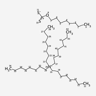 CCCCCCCCOC(=S)[S-].CCCCCCCC[N+](CCCCCCCC)(CCCCCCCC)CCCCCCCC